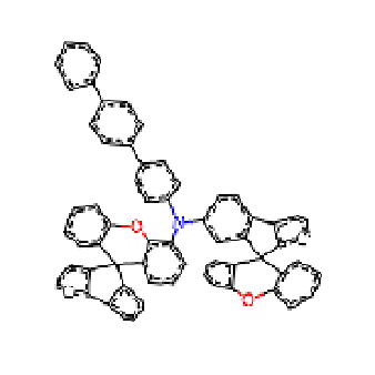 c1ccc(-c2ccc(-c3ccc(N(c4ccc5c(c4)C4(c6ccccc6Oc6ccccc64)c4ccccc4-5)c4cccc5c4Oc4ccccc4C54c5ccccc5-c5ccccc54)cc3)cc2)cc1